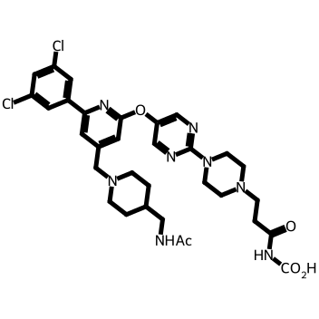 CC(=O)NCC1CCN(Cc2cc(Oc3cnc(N4CCN(CCC(=O)NC(=O)O)CC4)nc3)nc(-c3cc(Cl)cc(Cl)c3)c2)CC1